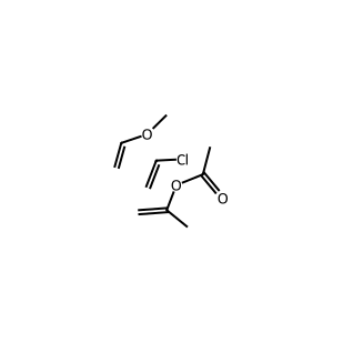 C=C(C)OC(C)=O.C=CCl.C=COC